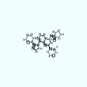 C[C@@H]1COCCN1c1cc(N=S2(=O)CCCC2)c2ccnc(-c3ccnn3C3CCCCO3)c2n1